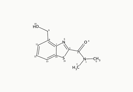 CN(C)C(=O)c1nc2c(CO)cccc2s1